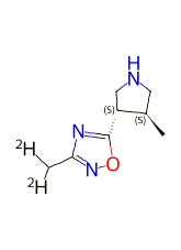 [2H]C([2H])c1noc([C@@H]2CNC[C@H]2C)n1